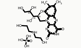 Cc1cc2nc3c(=O)[nH]c(=O)nc-3n(C[C@H](O)[C@H](O)[C@H](O)CO)c2cc1C.O=P(O)(O)O.OCCNCCO